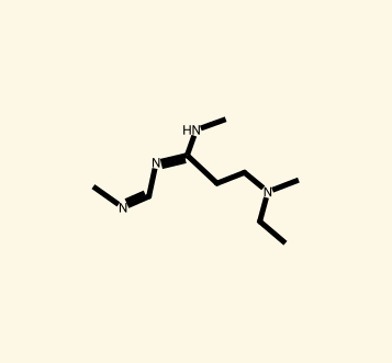 CCN(C)CC/C(=N\C=N/C)NC